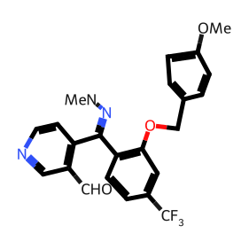 CN/N=C(\c1ccncc1C=O)c1ccc(C(F)(F)F)cc1OCc1ccc(OC)cc1